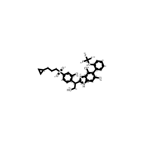 O=S(=O)(CCCC1CC1)c1ccc(C(CO)c2nc3c(Cl)c(-c4ccccc4OC(F)(F)F)c(Cl)cc3[nH]2)c(Cl)c1